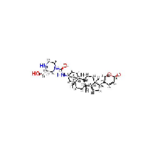 C[C@]12CC[C@H](NC(=O)N3CCN[C@@H](CO)C3)C[C@H]1CC[C@H]1C3=CC[C@H](c4ccc(=O)oc4)[C@@]3(C)CC[C@@H]12